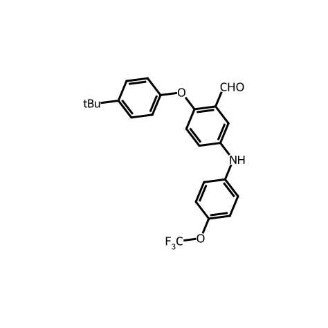 CC(C)(C)c1ccc(Oc2ccc(Nc3ccc(OC(F)(F)F)cc3)cc2C=O)cc1